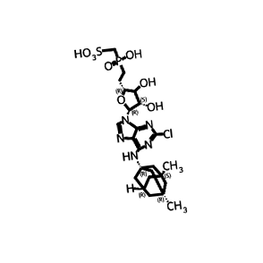 C[C@]12C[C@@H]3C[C@](C)(C1)C[C@@](Nc1nc(Cl)nc4c1ncn4[C@@H]1O[C@H](CCP(=O)(O)CS(=O)(=O)O)C(O)[C@@H]1O)(C3)C2